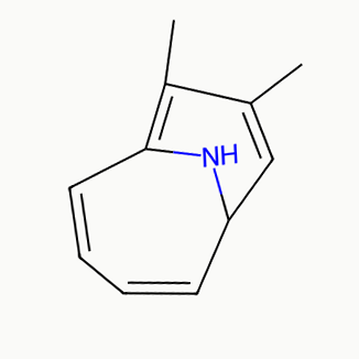 CC1=CC2C=CC=CC(=C1C)N2